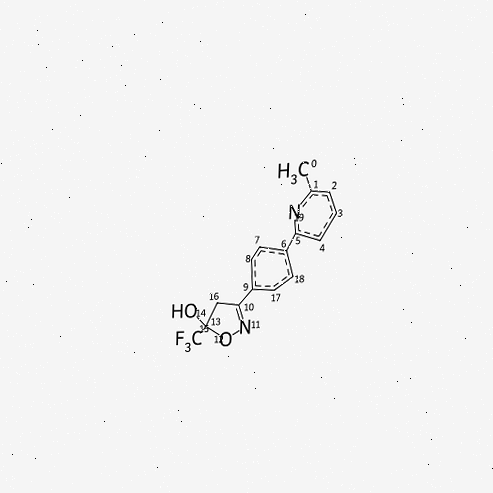 Cc1cccc(-c2ccc(C3=NOC(O)(C(F)(F)F)C3)cc2)n1